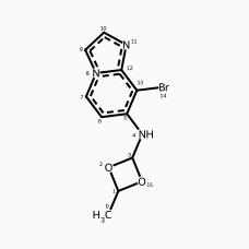 CC1OC(Nc2ccn3ccnc3c2Br)O1